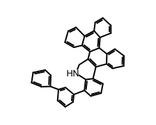 c1ccc(-c2cccc(-c3cccc4c3NCc3c-4c4ccccc4c4c5ccccc5c5ccccc5c34)c2)cc1